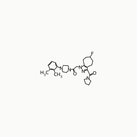 Cc1cccc(N2CCN(C(=O)Cn3nc(C(=O)N4CCCC4)c4c3CCC(F)CC4)CC2)c1C